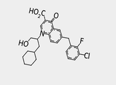 O=C(O)c1cn(C(CO)CC2CCCCC2)c2ccc(Cc3cccc(Cl)c3F)cc2c1=O